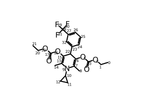 CCOC(=O)OC1=C(C)N(C2CC2)C(C)=C(OC(=O)OCC)C1c1cccc(C(F)(F)F)c1